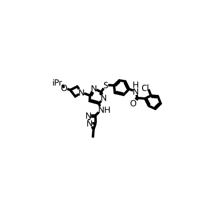 CC(C)OC1CN(c2cc(NC3=NN4C(C)C34)nc(Sc3ccc(NC(=O)c4ccccc4Cl)cc3)n2)C1